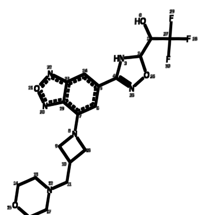 OC(C1NC(c2cc(N3CC(CN4CCOCC4)C3)c3nonc3c2)=NO1)C(F)(F)F